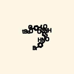 CC(c1ccc(C(=O)OC(C)(C)C)cc1)n1c(=O)[nH]c2sc(C(=O)NCc3ccc(Br)cc3)cc2c1=O